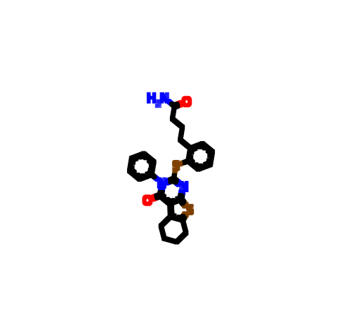 NC(=O)CCCc1ccccc1Sc1nc2sc3c(c2c(=O)n1-c1ccccc1)CCCC3